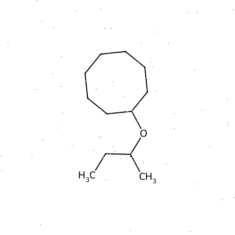 CC[C](C)OC1CCCCCCC1